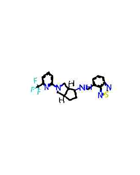 FC(F)(F)c1cccc(N2C[C@H]3CC[C@H](NCc4cccc5nsnc45)[C@H]3C2)n1